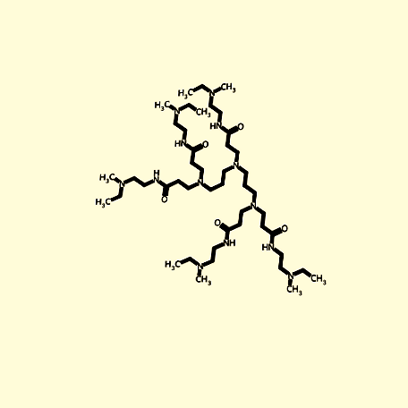 CCN(C)CCNC(=O)CCN(CCCN(CCC(=O)NCCN(C)CC)CCC(=O)NCCN(C)CC)CCCN(CCC(=O)NCCN(C)CC)CCC(=O)NCCN(C)CC